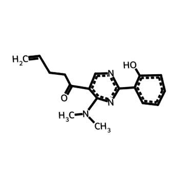 C=CCCC(=O)c1cnc(-c2ccccc2O)nc1N(C)C